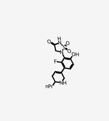 CCCC1CC=C(c2ccc(O)c(N3CC(=O)NS3(=O)=O)c2F)CN1